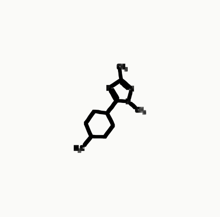 Cc1nc(C2CCC(C)CC2)n(C)n1